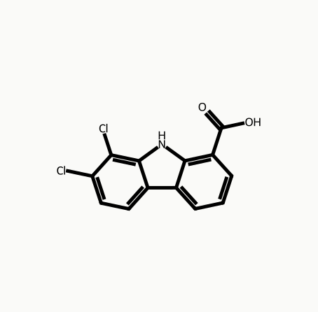 O=C(O)c1cccc2c1[nH]c1c(Cl)c(Cl)ccc12